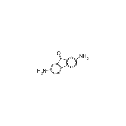 Nc1ccc2c(c1)C(=O)c1cc(N)ccc1-2